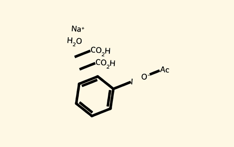 CC(=O)O.CC(=O)O.CC(=O)[O-].Ic1ccccc1.O.[Na+]